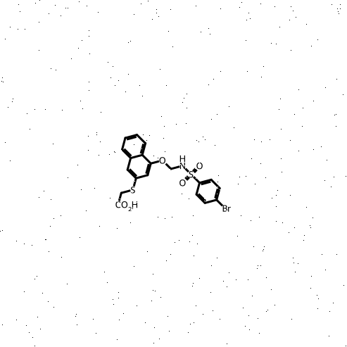 O=C(O)CSc1cc(OCNS(=O)(=O)c2ccc(Br)cc2)c2ccccc2c1